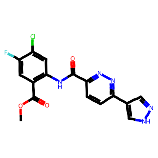 COC(=O)c1cc(F)c(Cl)cc1NC(=O)c1ccc(-c2cn[nH]c2)nn1